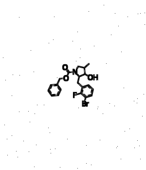 CC1CN(C(=O)OCc2ccccc2)C(Cc2cccc(Br)c2F)C1O